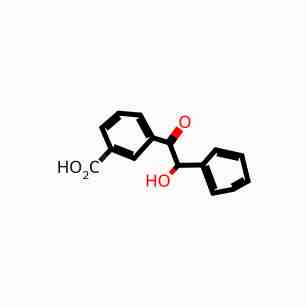 O=C(O)c1cccc(C(=O)C(O)c2ccccc2)c1